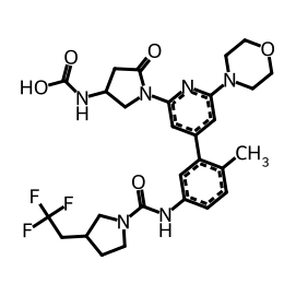 Cc1ccc(NC(=O)N2CCC(CC(F)(F)F)C2)cc1-c1cc(N2CCOCC2)nc(N2CC(NC(=O)O)CC2=O)c1